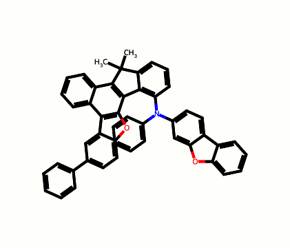 CC1(C)c2cccc(N(c3ccccc3)c3ccc4c(c3)oc3ccccc34)c2-c2c1c1ccccc1c1c2oc2ccc(-c3ccccc3)cc21